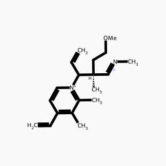 C=Cc1cc[n+](C(C=C)[C@](C)(/C=N/C)CCOC)c(C)c1C